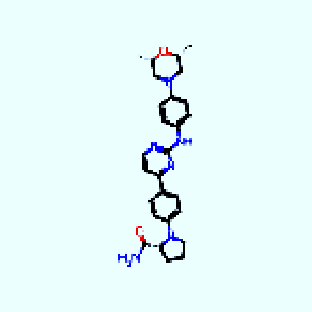 C[C@@H]1CN(c2ccc(Nc3nccc(-c4ccc(N5CCC[C@@H]5C(N)=O)cc4)n3)cc2)C[C@H](C)O1